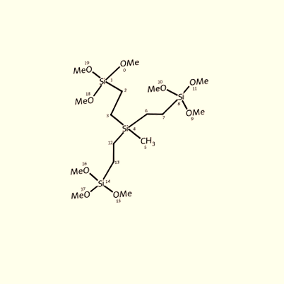 CO[Si](CC[Si](C)(CC[Si](OC)(OC)OC)CC[Si](OC)(OC)OC)(OC)OC